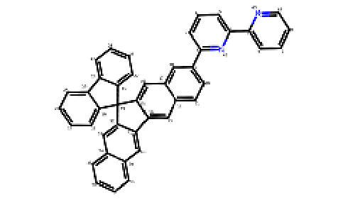 c1ccc(-c2cccc(-c3ccc4cc5c(cc4c3)C3(c4ccccc4-c4ccccc43)c3cc4ccccc4cc3-5)n2)nc1